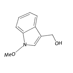 COn1cc(CO)c2ccccc21